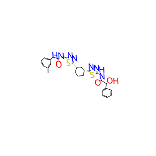 Cc1cccc(CC(=O)Nc2nnc([C@H]3CCC[C@H](c4nnc(NC(=O)[C@@H](O)c5ccccc5)s4)C3)s2)c1